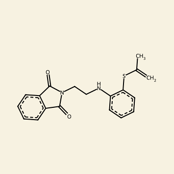 C=C(C)Sc1ccccc1NCCN1C(=O)c2ccccc2C1=O